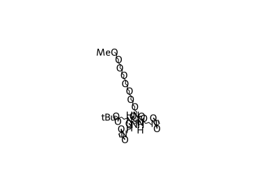 COCCOCCOCCOCCOCCOCCOCCOCCNC(=O)[C@@H](NC(=O)CCCN1C(=O)C=CC1=O)[C@H](NC(=O)CCCN1C(=O)C=CC1=O)C(=O)NCCCC(=O)OC(C)(C)C